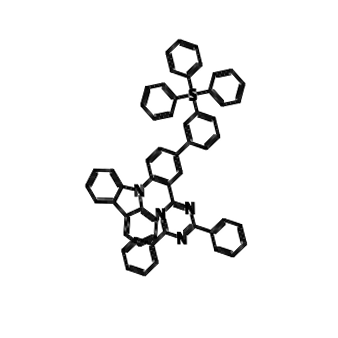 c1ccc(-c2nc(-c3ccccc3)nc(-c3cc(-c4cccc(S(c5ccccc5)(c5ccccc5)c5ccccc5)c4)ccc3-n3c4ccccc4c4ccccc43)n2)cc1